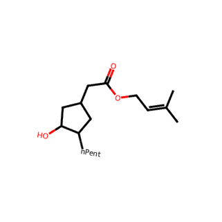 CCCCCC1CC(CC(=O)OCC=C(C)C)CC1O